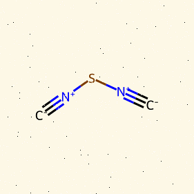 [C-]#[N+]S[N+]#[C-]